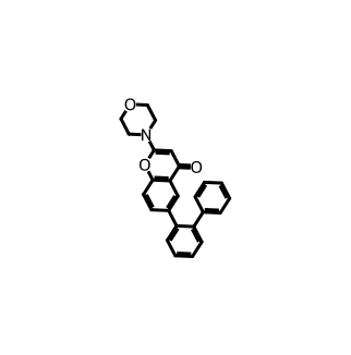 O=c1cc(N2CCOCC2)oc2ccc(-c3ccccc3-c3ccccc3)cc12